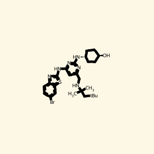 CC(C)(C)CC(C)(C)NCc1cc(Nc2nc3ccc(Br)cc3s2)nc(N[C@H]2CC[C@H](O)CC2)n1